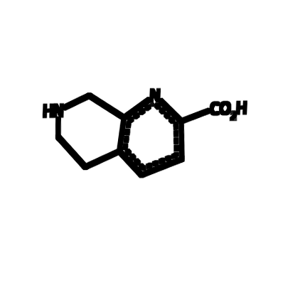 O=C(O)c1ccc2c(n1)CNCC2